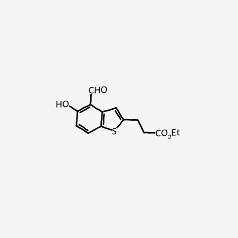 CCOC(=O)CCc1cc2c(C=O)c(O)ccc2s1